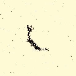 CC(=O)NC[C@H]1CN(c2ccc(N3CCN(C(=O)CCCCC#Cc4cccc(CN)c4)CC3)c(F)c2)C(=O)O1